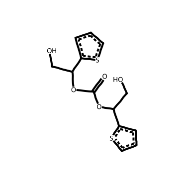 O=C(OC(CO)c1cccs1)OC(CO)c1cccs1